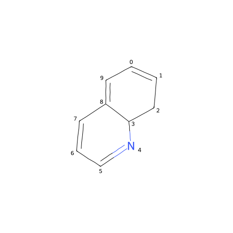 C1=CCC2N=CC=CC2=C1